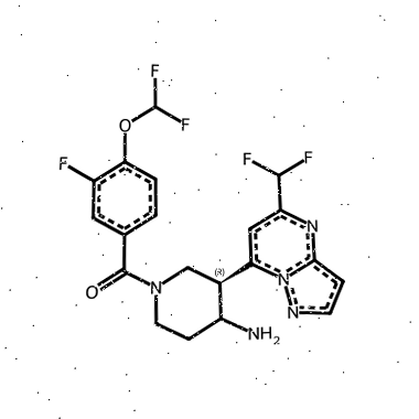 NC1CCN(C(=O)c2ccc(OC(F)F)c(F)c2)C[C@H]1c1cc(C(F)F)nc2ccnn12